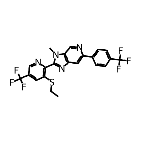 CCSc1cc(C(F)(F)F)cnc1-c1nc2cc(-c3ccc(C(F)(F)F)cc3)ncc2n1C